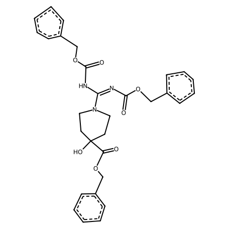 O=C(N=C(NC(=O)OCc1ccccc1)N1CCC(O)(C(=O)OCc2ccccc2)CC1)OCc1ccccc1